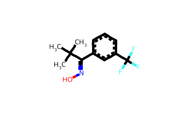 CC(C)(C)C(=NO)c1cccc(C(F)(F)F)c1